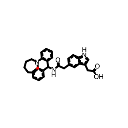 O=C(O)Cc1c[nH]c2ccc(CC(=O)NC(c3ccccc3)c3ccccc3N3CCCCCC3)cc12